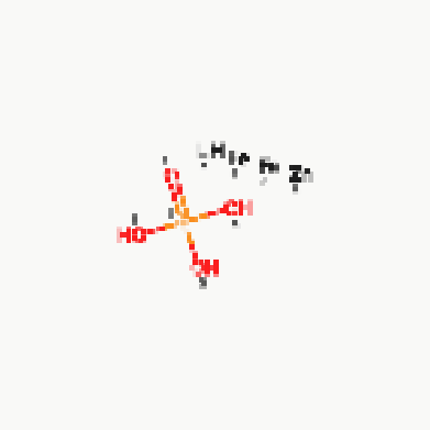 O=P(O)(O)O.[Fe].[Fe].[LiH].[Zn]